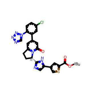 CC(C)(C)OC(=O)c1cc(-c2cnc([C@@H]3CCc4cc(-c5cc(Cl)ccc5-n5cnnn5)cc(=O)n43)[nH]2)cs1